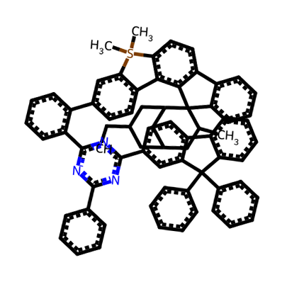 CCC1CC2CC(C)C3(c4ccccc4-c4ccc5c(c43)-c3ccc(-c4ccccc4-c4nc(-c6ccccc6)nc(-c6ccc7c(c6)C(c6ccccc6)(c6ccccc6)c6ccccc6-7)n4)cc3S5(C)C)C(C1)C2